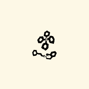 C1=[N+](CCC2CCCCC2)CCc2ccccc21.c1ccc([B-](c2ccccc2)(c2ccccc2)c2ccccc2)cc1